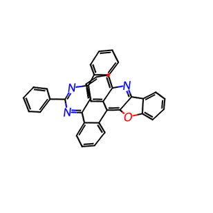 c1ccc(-c2cc(-c3ccccc3-c3c4ccccc4nc4c3oc3ccccc34)nc(-c3ccccc3)n2)cc1